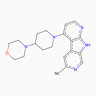 N#Cc1cc2c(cn1)[nH]c1nccc(N3CCC(N4CCOCC4)CC3)c12